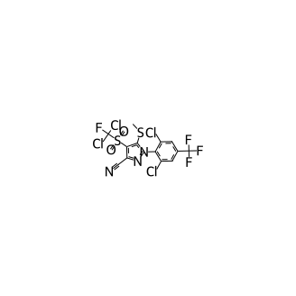 CSc1c(S(=O)(=O)C(F)(Cl)Cl)c(C#N)nn1-c1c(Cl)cc(C(F)(F)F)cc1Cl